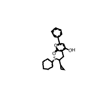 O=c1oc(-c2ccccc2)cc(O)c1CC(SC1CCCCC1)C1CC1